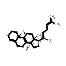 CC(C)=CCC[C@@H](C)[C@H]1CC[C@H]2C3=C(CC[C@]12C)[C@@]1(C)CCCC=C1CC3